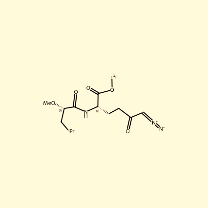 CO[C@@H](CC(C)C)C(=O)N[C@@H](CCC(=O)C=[N+]=[N-])C(=O)OC(C)C